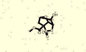 COC(=O)C12CC3OC1C(OS2(=O)=O)C3O